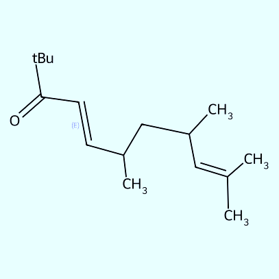 CC(C)=CC(C)CC(C)/C=C/C(=O)C(C)(C)C